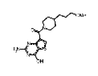 COCCCC1CCN(C(=O)c2csc3c(O)nc(N)nc23)CC1